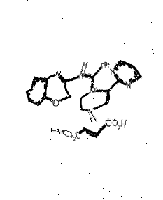 CCCC(NC1=Nc2ccccc2OC1)N1CCNCC1c1ncccn1.O=C(O)C=CC(=O)O